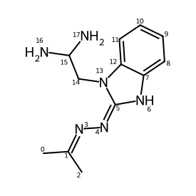 CC(C)=NN=c1[nH]c2ccccc2n1CC(N)N